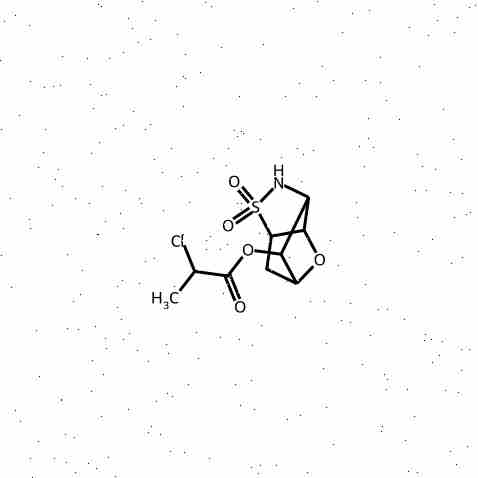 CC(Cl)C(=O)OC1C2CC3C(O2)C1NS3(=O)=O